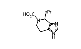 CCCC1c2nc[nH]c2CCN1C(=O)O